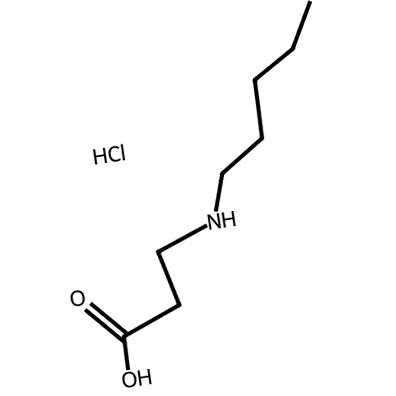 CCCCCNCCC(=O)O.Cl